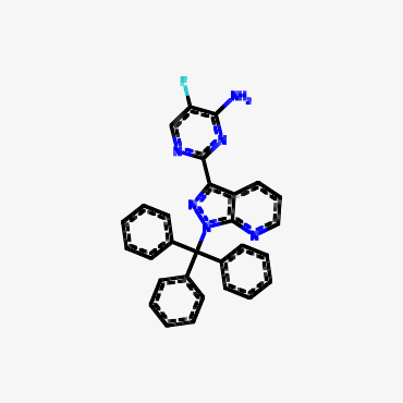 Nc1nc(-c2nn(C(c3ccccc3)(c3ccccc3)c3ccccc3)c3ncccc23)ncc1F